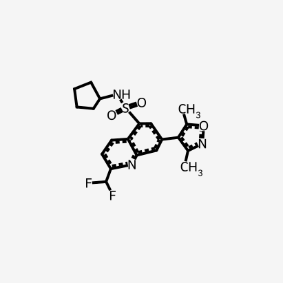 Cc1noc(C)c1-c1cc(S(=O)(=O)NC2CCCC2)c2ccc(C(F)F)nc2c1